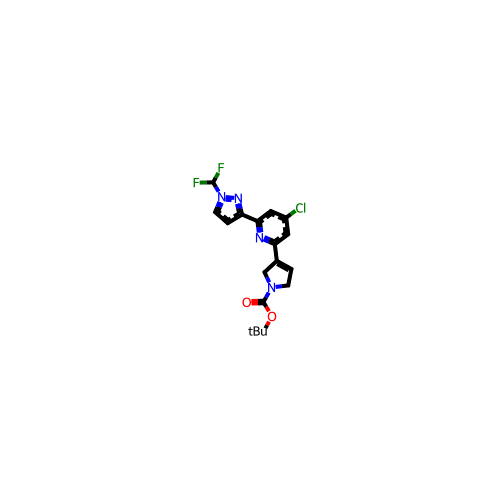 CC(C)(C)OC(=O)N1CC=C(c2cc(Cl)cc(-c3ccn(C(F)F)n3)n2)C1